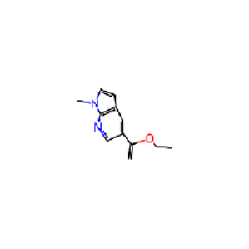 C=C(OCC)c1cnc2c(ccn2C)c1